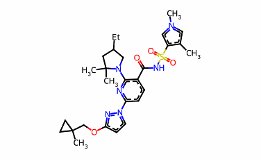 CCC1CN(c2nc(-n3ccc(OCC4(C)CC4)n3)ccc2C(=O)NS(=O)(=O)c2cn(C)cc2C)C(C)(C)C1